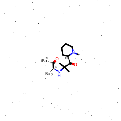 CC[C@@H](C)C(=O)[C@@H](NC(C)(C)C(=O)[C@H]1CCCCN1C)[C@@H](C)CC